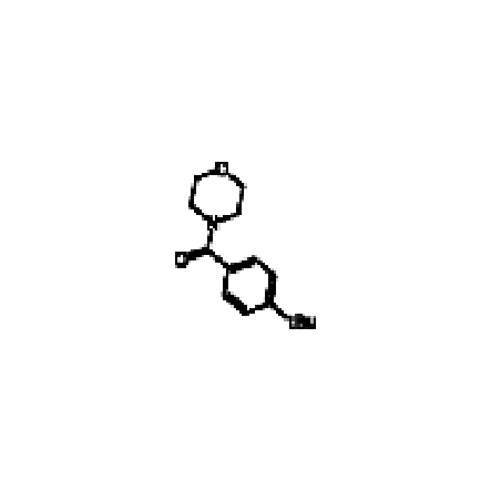 CC(C)(C)c1ccc(C(=O)N2CCOCC2)cc1